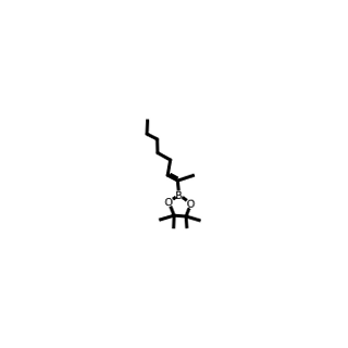 CCCCCC=C(C)B1OC(C)(C)C(C)(C)O1